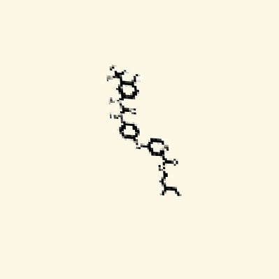 CCC(C)CCOC(=O)c1cc(Oc2ccc(NC(=O)Nc3ccc(Cl)c(C(F)(F)F)c3)cc2)ccn1